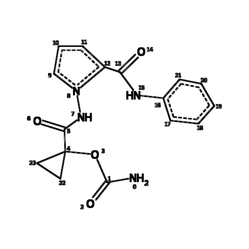 NC(=O)OC1(C(=O)Nn2cccc2C(=O)Nc2ccccc2)CC1